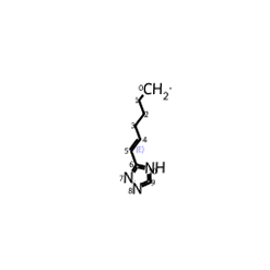 [CH2]CCC/C=C/c1nnc[nH]1